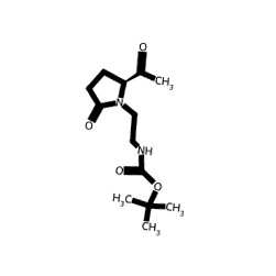 CC(=O)[C@@H]1CCC(=O)N1CCNC(=O)OC(C)(C)C